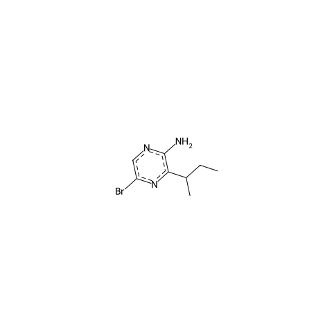 CCC(C)c1nc(Br)cnc1N